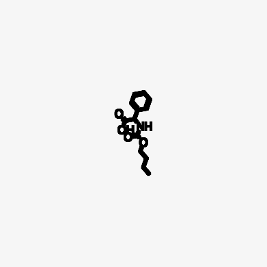 CCCCOC(=O)NC(C(=O)O)c1ccccc1